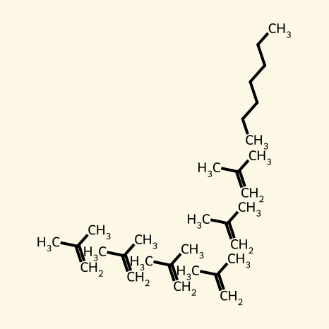 C=C(C)C.C=C(C)C.C=C(C)C.C=C(C)C.C=C(C)C.C=C(C)C.CCCCCCC